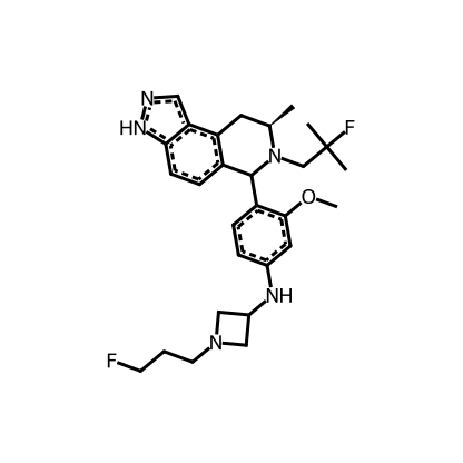 COc1cc(NC2CN(CCCF)C2)ccc1C1c2ccc3[nH]ncc3c2C[C@@H](C)N1CC(C)(C)F